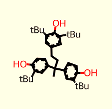 CC(C)(C)c1cc(C(C)(CCc2cc(C(C)(C)C)c(O)c(C(C)(C)C)c2)c2ccc(O)c(C(C)(C)C)c2)ccc1O